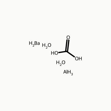 O.O.O=C(O)O.[AlH3].[BaH2]